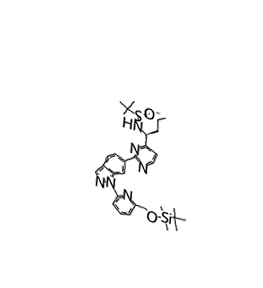 CCC[C@H](N[S@+]([O-])C(C)(C)C)c1ccnc(-c2ccc3cnn(-c4cccc(CO[Si](C)(C)C(C)(C)C)n4)c3c2)n1